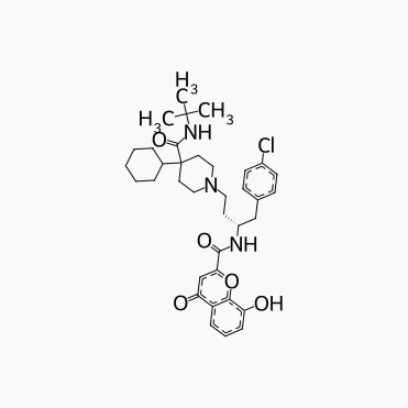 CC(C)(C)NC(=O)C1(C2CCCCC2)CCN(CC[C@H](Cc2ccc(Cl)cc2)NC(=O)c2cc(=O)c3cccc(O)c3o2)CC1